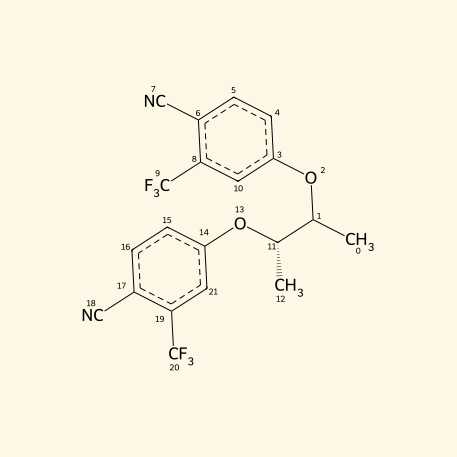 CC(Oc1ccc(C#N)c(C(F)(F)F)c1)[C@H](C)Oc1ccc(C#N)c(C(F)(F)F)c1